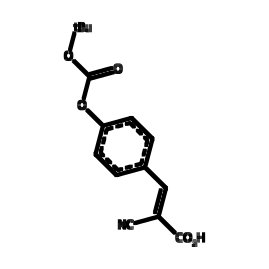 CC(C)(C)OC(=O)Oc1ccc(/C=C(\C#N)C(=O)O)cc1